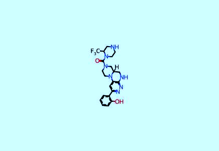 O=C(N1CCN2c3cc(-c4ccccc4O)nnc3NC[C@H]2C1)N1CCNCC1C(F)(F)F